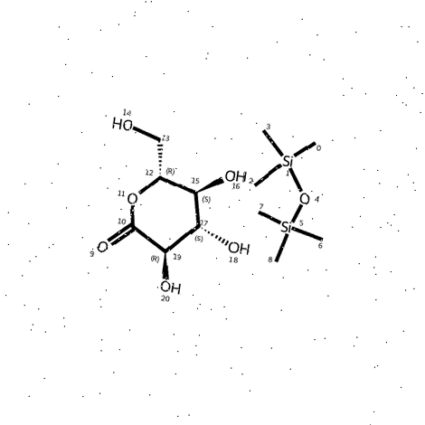 C[Si](C)(C)O[Si](C)(C)C.O=C1O[C@H](CO)[C@@H](O)[C@H](O)[C@H]1O